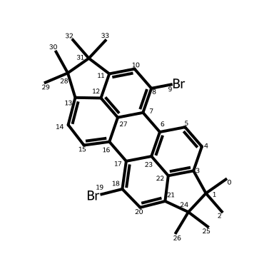 CC1(C)c2ccc3c4c(Br)cc5c6c(ccc(c7c(Br)cc(c2c37)C1(C)C)c64)C(C)(C)C5(C)C